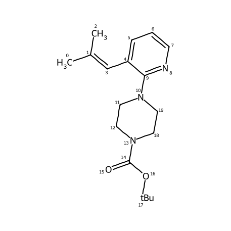 CC(C)=Cc1cccnc1N1CCN(C(=O)OC(C)(C)C)CC1